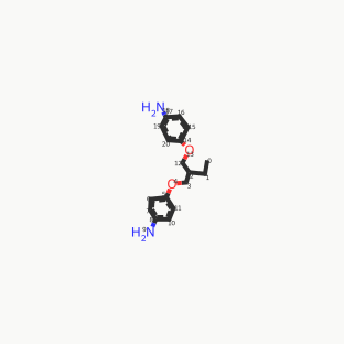 CCC(COc1ccc(N)cc1)COc1ccc(N)cc1